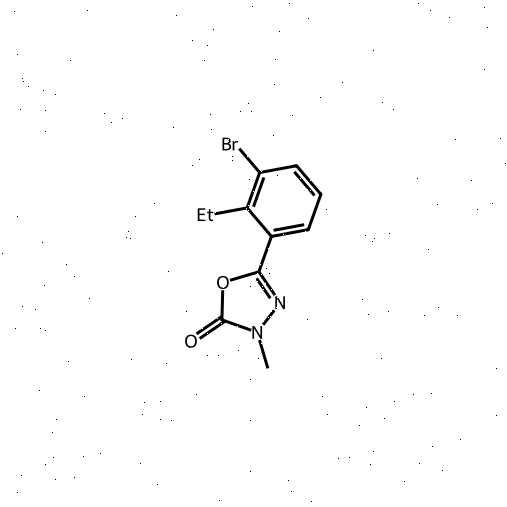 CCc1c(Br)cccc1-c1nn(C)c(=O)o1